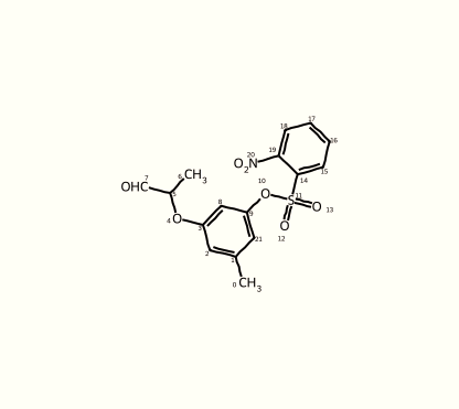 Cc1cc(OC(C)C=O)cc(OS(=O)(=O)c2ccccc2[N+](=O)[O-])c1